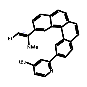 CC/C=C(\NC)c1ccc2ccc3ccc4ccc(-c5cc(C(C)(C)C)ccn5)cc4c3c2c1